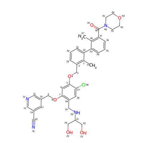 Cc1c(COc2cc(OCc3cncc(C#N)c3)c(CNC(CO)CO)cc2Cl)cccc1-c1cccc(C(=O)N2CCOCC2)c1C